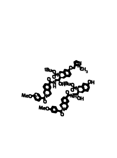 COc1ccc(C(=O)N2CCc3cc(C(=O)NC[C@@H](O)[C@@H]4Cc5ccc(O)cc5CN4C(=O)OC(C)(C)C)ccc3C2)cc1.COc1ccc(C(=O)N2CCc3cc(C(=O)NC[C@@H](O)[C@@H]4Cc5ccc(OCc6ccnn6C)cc5CN4C(=O)OC(C)(C)C)ccc3C2)cc1